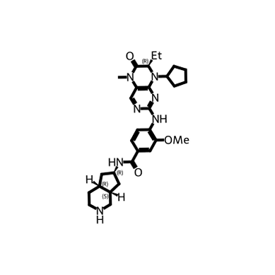 CC[C@@H]1C(=O)N(C)c2cnc(Nc3ccc(C(=O)N[C@@H]4C[C@H]5CCNC[C@H]5C4)cc3OC)nc2N1C1CCCC1